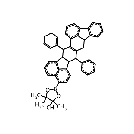 CC1(C)OB(c2ccc3c4c(cccc24)C2C(C4=CCCC=C4)C4=C(CC5c6ccccc6-c6cccc4c65)C(c4ccccc4)C32)OC1(C)C